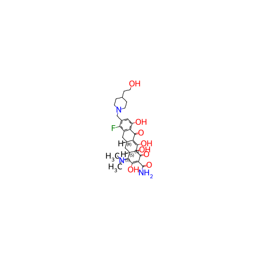 CN(C)[C@@H]1C(O)=C(C(N)=O)C(=O)[C@@]2(O)C(O)=C3C(=O)c4c(O)cc(CN5CCC(CCO)CC5)c(F)c4C[C@H]3C[C@@H]12